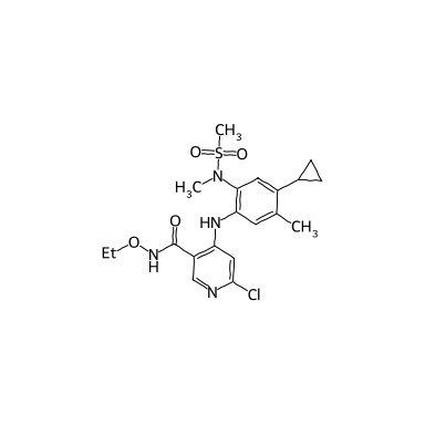 CCONC(=O)c1cnc(Cl)cc1Nc1cc(C)c(C2CC2)cc1N(C)S(C)(=O)=O